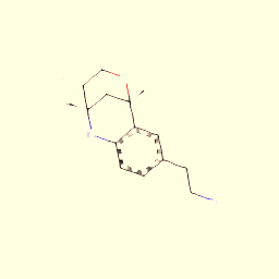 Cl.NCCc1ccc2c(c1)[C@@H]1C[C@H](N2)[C@H](O)CO1